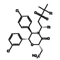 CC[C@@H](CS(=O)(=O)C(C)(C)CC)N1C(=O)[C@H](CC(=O)O)O[C@H](c2cccc(Cl)c2)[C@H]1c1ccc(Cl)cc1